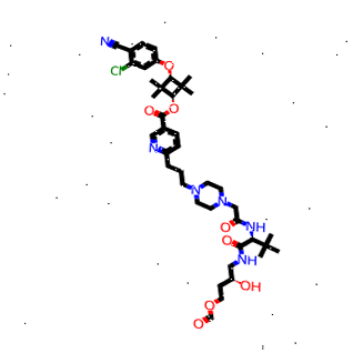 CC(C)(C)[C@H](NC(=O)CN1CCN(CCCc2ccc(C(=O)O[C@H]3C(C)(C)[C@H](Oc4ccc(C#N)c(Cl)c4)C3(C)C)cn2)CC1)C(=O)NC[C@H](O)CCOC=O